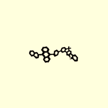 CC1(C)c2ccc(-c3ccc(-c4c5ccccc5c(-c5ccc6ccccc6c5)c5ccccc45)cc3)cc2-c2cc3sc4ccccc4c3cc21